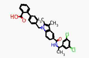 Cc1c(C)n(Cc2ccc(-c3ccccc3C(=O)O)cc2)c2ccc(C(=O)NC(C)c3cc(Cl)cc(Cl)c3)cc12